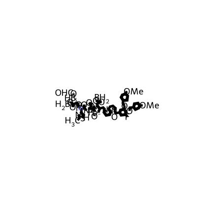 BOC(=O)C1=C(C[n+]2cccc3c2CCCN3C(=O)c2cc(F)c(OCc3ccc(OC)cc3)c(OCc3ccc(OC)cc3)c2)C[S+]([O-])[C@@H]2[C@H](NC(=O)/C(=N\O[C@@H](CBOC=O)C(=O)OB)c3csc(C)n3)C(=O)N12